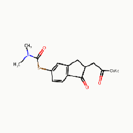 COC(=O)CC1Cc2cc(SC(=O)N(C)C)ccc2C1=O